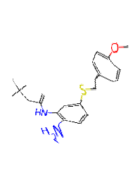 C=C(CC(C)(C)C)Nc1cc(SCc2ccc(OC)cc2)ccc1N